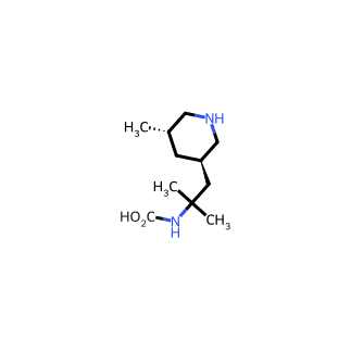 C[C@@H]1CNC[C@@H](CC(C)(C)NC(=O)O)C1